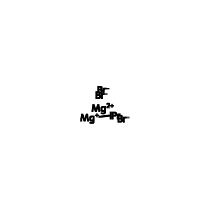 C[CH](C)[Mg+].[Br-].[Br-].[Br-].[Mg+2]